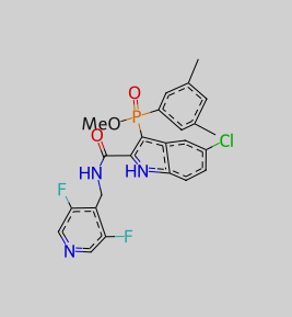 COP(=O)(c1cc(C)cc(C)c1)c1c(C(=O)NCc2c(F)cncc2F)[nH]c2ccc(Cl)cc12